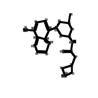 CC1CC(NC(=O)CC2CNC2)CN(c2ccc(C#N)c3nccnc23)C1